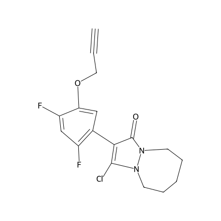 C#CCOc1cc(-c2c(Cl)n3n(c2=O)CCCCC3)c(F)cc1F